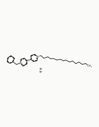 CCCCCCCCCCCCCCCC[n+]1ccc(-c2cc[n+](Cc3ccccc3)cc2)cc1.[Br-].[Br-]